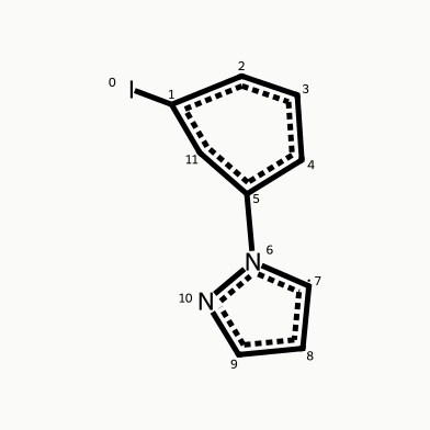 Ic1cccc(-n2[c]ccn2)c1